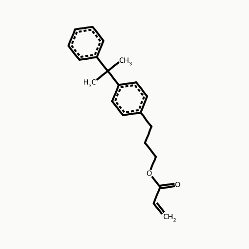 C=CC(=O)OCCCc1ccc(C(C)(C)c2ccccc2)cc1